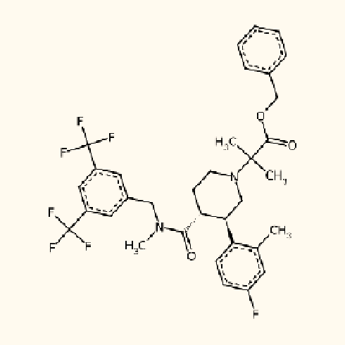 Cc1cc(F)ccc1[C@@H]1CN(C(C)(C)C(=O)OCc2ccccc2)CC[C@H]1C(=O)N(C)Cc1cc(C(F)(F)F)cc(C(F)(F)F)c1